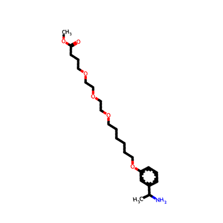 COC(=O)CCCOCCOCCOCCCCCCOc1cccc(C(C)N)c1